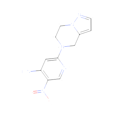 Nc1cc(N2CCn3nccc3C2)ncc1[N+](=O)[O-]